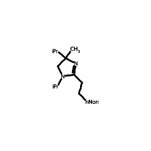 CCCCCCCCCCCC1=NC(C)(C(C)C)CN1C(C)C